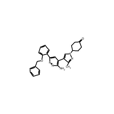 Cc1nn(C2CCC(=O)CC2)cc1-c1cc(-c2ccccc2OCc2ccccc2)nnc1N